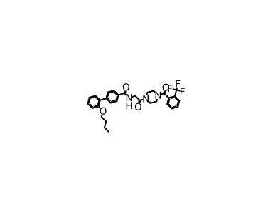 CCCCOc1ccccc1-c1ccc(C(=O)NCC(=O)N2CCN(C(=O)c3ccccc3C(F)(F)F)CC2)cc1